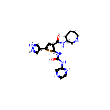 O=C(Nc1cnccn1)Nc1sc(-c2cn[nH]c2)cc1C(=O)N[C@H]1CCCCNC1